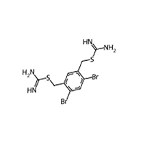 N=C(N)SCc1cc(CSC(=N)N)c(Br)cc1Br